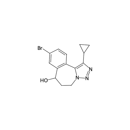 OC1CCn2nnc(C3CC3)c2-c2ccc(Br)cc21